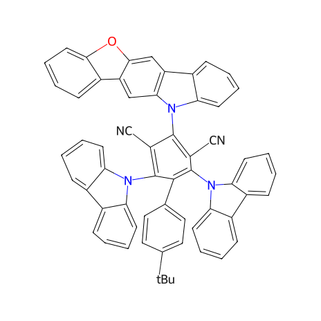 CC(C)(C)c1ccc(-c2c(-n3c4ccccc4c4ccccc43)c(C#N)c(-n3c4ccccc4c4cc5oc6ccccc6c5cc43)c(C#N)c2-n2c3ccccc3c3ccccc32)cc1